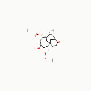 COCO[C@H]1[C@H](C)C23CCC(=O)C(C[C@@H](C)[C@](C)(C2)[C@H](OC(C)=O)C[C@@]1(C)C=O)C3